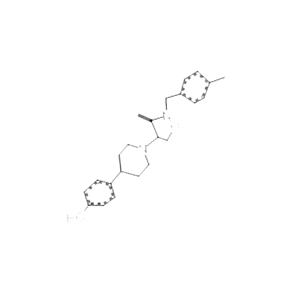 C=C1C(N2CCC(c3ccc(O)cc3)CC2)CON1Cc1ccc(C)cc1